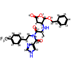 C[C@H](NC1CC(=O)OC1OCc1ccccc1)C(=O)N(CCc1ccc(C(F)(F)F)cc1)C(=O)c1c[nH]cn1